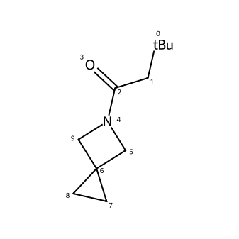 CC(C)(C)CC(=O)N1CC2(CC2)C1